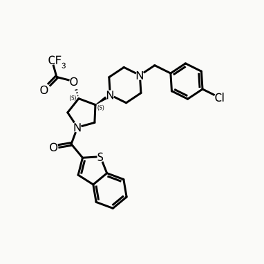 O=C(c1cc2ccccc2s1)N1C[C@H](OC(=O)C(F)(F)F)[C@@H](N2CCN(Cc3ccc(Cl)cc3)CC2)C1